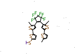 Cc1ccc(-c2cc(C3=C(c4cc(-c5ccc(SI)s5)sc4C)C(F)(F)C(F)(F)C3(F)F)c(C)s2)s1